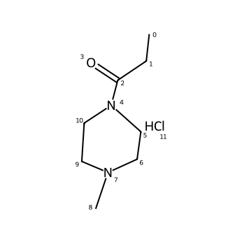 CCC(=O)N1CCN(C)CC1.Cl